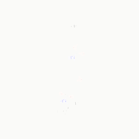 CC#CCOC(=O)Nc1ccc2oc3cc(S(=O)(=O)N[C@H](C(=O)O)C(C)C)ccc3c2c1